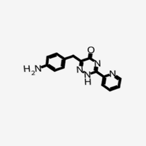 Nc1ccc(Cc2n[nH]c(-c3ccccn3)nc2=O)cc1